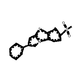 CS(=O)(=O)c1ccc2c(c1)sc1cc(-c3ccccc3)cn12